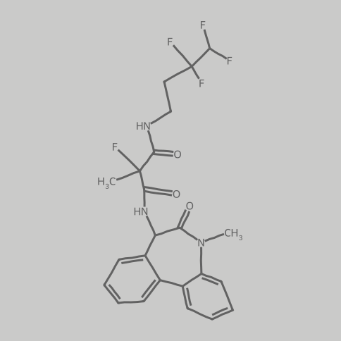 CN1C(=O)C(NC(=O)C(C)(F)C(=O)NCCC(F)(F)C(F)F)c2ccccc2-c2ccccc21